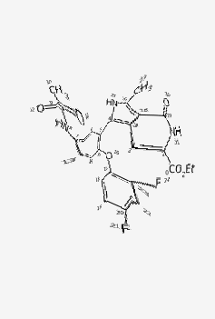 CCOC(=O)c1cc2c(-c3cc(NS(C)(=O)=O)ccc3Oc3ccc(F)cc3F)[nH]c(C)c2c(=O)[nH]1